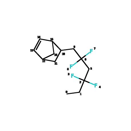 CCC(F)(F)CC(F)(F)CC1CC2C=CC1C2